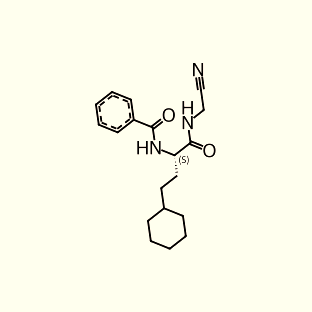 N#CCNC(=O)[C@H](CCC1CCCCC1)NC(=O)c1ccccc1